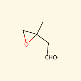 CC1(C[C]=O)CO1